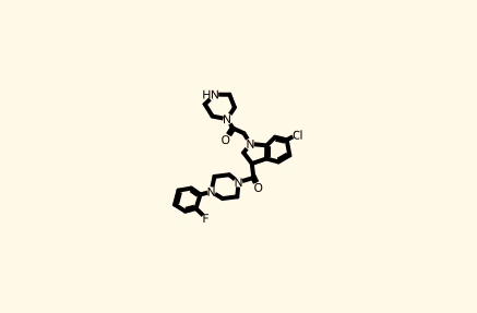 O=C(CN1CC(C(=O)N2CCN(c3ccccc3F)CC2)c2ccc(Cl)cc21)N1CCNCC1